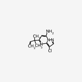 C=CC(C)(C)c1cc(N)n2ncc(Cl)c2n1